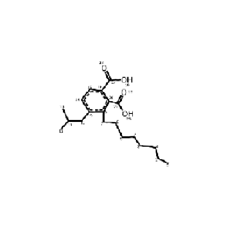 CCCCCCCCc1c(CC(C)C)ccc(C(=O)O)c1C(=O)O